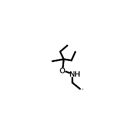 [CH2]CNOC(C)(CC)CC